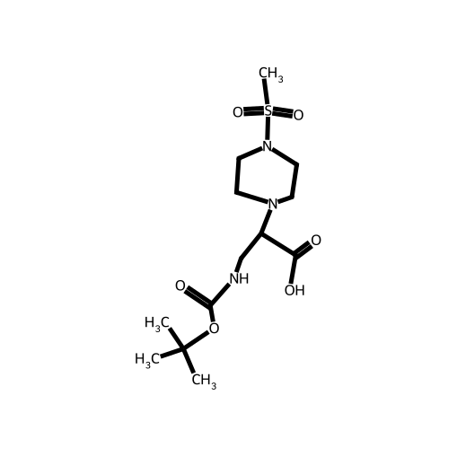 CC(C)(C)OC(=O)NCC(C(=O)O)N1CCN(S(C)(=O)=O)CC1